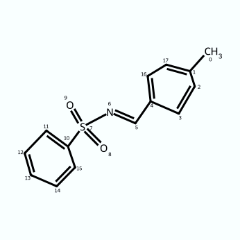 Cc1ccc(/C=N/S(=O)(=O)c2ccccc2)cc1